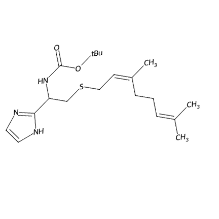 CC(C)=CCCC(C)=CCSCC(NC(=O)OC(C)(C)C)c1ncc[nH]1